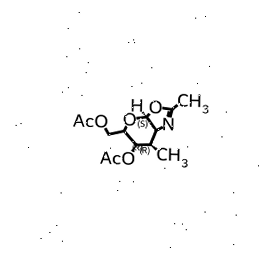 CC(=O)OCC1O[C@H]2OC(C)=NC2[C@@H](C)[C@H]1OC(C)=O